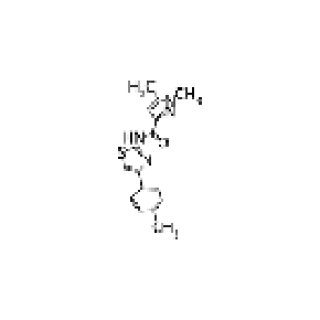 Cc1ccc(-c2csc(NC(=O)c3cc(C)n(C)n3)n2)cc1